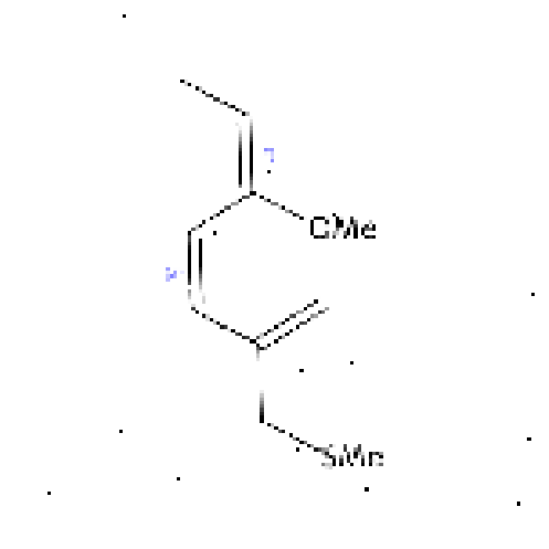 C=C(/C=C\C(=C/C)OC)CSC